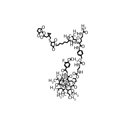 CC[C@H](C)C([C@@H](CC(=O)N1C[C@@H](OC(=O)NCCNC(=O)OCc2ccc(NC(=O)C(CCCNC(N)=O)NC(=O)[C@@H](NC(=O)CCCCCN3C(=O)CC(SCC4(CC(=O)ON5C(=O)CCC5=O)CC4)C3=O)C(C)C)cc2)C[C@H]1[C@H](OC)[C@@H](C)C(=O)NCC(=O)c1ccc(OC)c(F)c1)OC)N(C)C(=O)[C@@H](NC(=O)[C@H](C(C)C)N(C)C)C(C)C